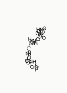 COc1cc2nn(C3CCC(CN4C[C@@H]5C[C@H]4CN5c4ccc5c(c4)C(=O)N(N4CCC(=O)NC4=O)C5=O)CC3)cc2cc1NC(=O)c1cccc(C(F)(F)F)c1